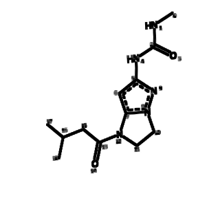 CNC(=O)Nc1cc2n(n1)CCN2C(=O)CC(C)C